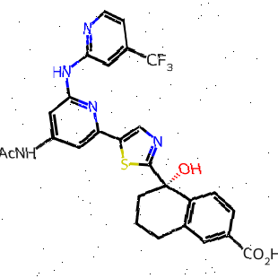 CC(=O)Nc1cc(Nc2cc(C(F)(F)F)ccn2)nc(-c2cnc([C@]3(O)CCCc4cc(C(=O)O)ccc43)s2)c1